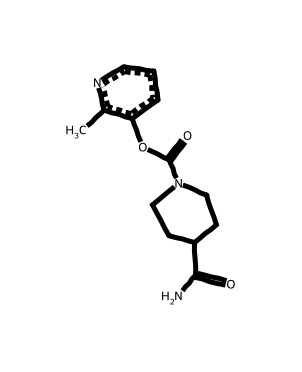 Cc1ncccc1OC(=O)N1CCC(C(N)=O)CC1